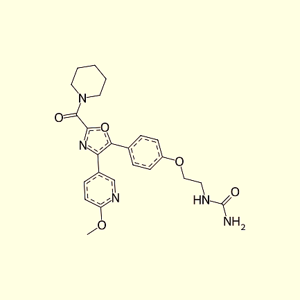 COc1ccc(-c2nc(C(=O)N3CCCCC3)oc2-c2ccc(OCCNC(N)=O)cc2)cn1